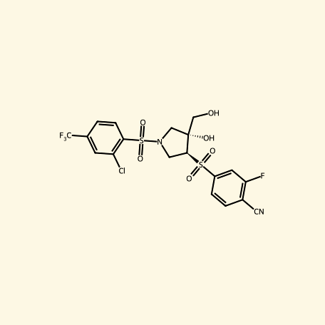 N#Cc1ccc(S(=O)(=O)[C@H]2CN(S(=O)(=O)c3ccc(C(F)(F)F)cc3Cl)C[C@@]2(O)CO)cc1F